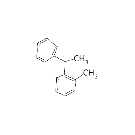 Cc1ccc[c]c1C(C)c1ccccc1